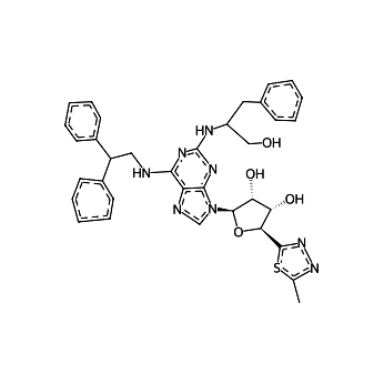 Cc1nnc([C@H]2O[C@@H](n3cnc4c(NCC(c5ccccc5)c5ccccc5)nc(NC(CO)Cc5ccccc5)nc43)[C@H](O)[C@@H]2O)s1